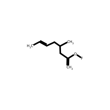 C=C(CC(C)C/C=C/C)OF